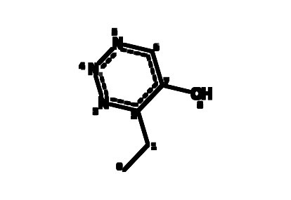 CCc1nnncc1O